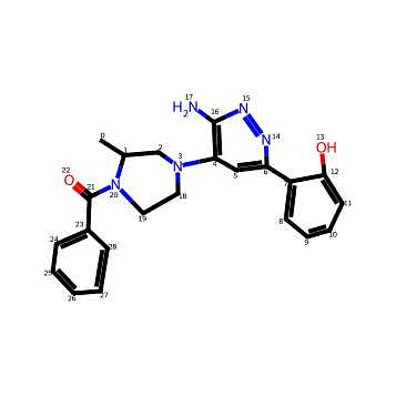 CC1CN(c2cc(-c3ccccc3O)nnc2N)CCN1C(=O)c1ccccc1